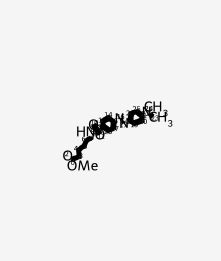 COC(=O)CCCCCNS(=O)(=O)c1ccc(N=Nc2ccc(N(C)C)cc2)cc1